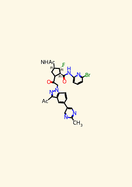 CC(=O)N[C@@H]1CC(C(=O)Cn2nc(C(C)=O)c3cc(-c4cnc(C)nc4)ccc32)[C@H](C(=O)Nc2cccc(Br)n2)[C@H]1F